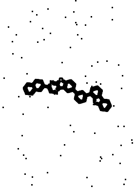 c1cc(-c2ccc3oc4nc(-c5ccc6ccccc6c5)cnc4c3c2)cc(-c2cccc3c2sc2ccccc23)c1